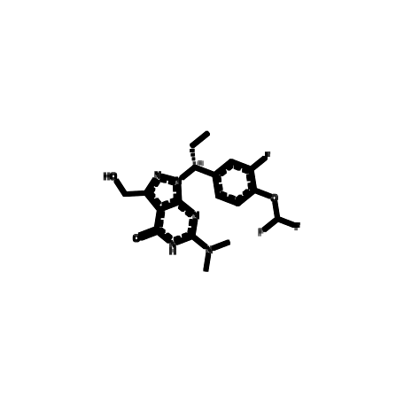 CC[C@H](c1ccc(OC(F)F)c(F)c1)n1nc(CO)c2c(=O)[nH]c(N(C)C)nc21